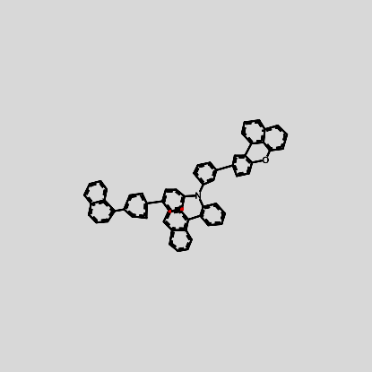 c1cc(-c2ccc3c(c2)-c2cccc4cccc(c24)O3)cc(N(c2ccc(-c3ccc(-c4cccc5ccccc45)cc3)cc2)c2ccccc2-c2cccc3ccccc23)c1